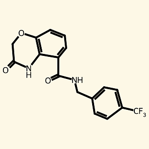 O=C1COc2cccc(C(=O)NCc3ccc(C(F)(F)F)cc3)c2N1